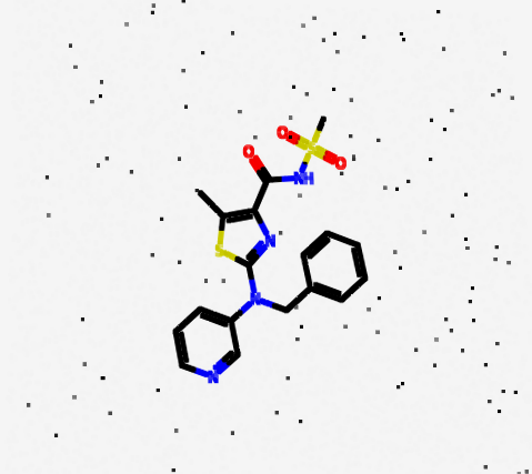 Cc1sc(N(Cc2ccccc2)c2cccnc2)nc1C(=O)NS(C)(=O)=O